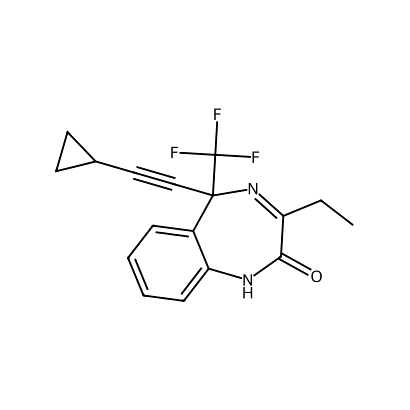 CCC1=NC(C#CC2CC2)(C(F)(F)F)c2ccccc2NC1=O